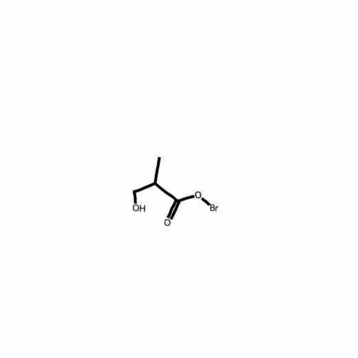 CC(CO)C(=O)OBr